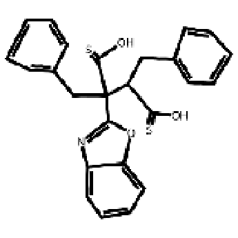 OC(=S)C(Cc1ccccc1)C(Cc1ccccc1)(C(O)=S)c1nc2ccccc2o1